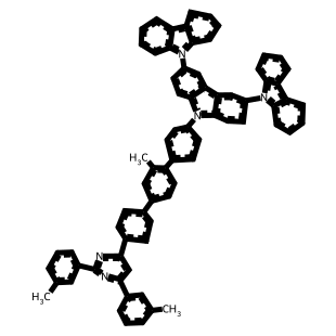 Cc1cccc(-c2cc(-c3ccc(-c4ccc(-c5ccc(-n6c7ccc(-n8c9ccccc9c9ccccc98)cc7c7cc(-n8c9ccccc9c9ccccc98)ccc76)cc5)c(C)c4)cc3)nc(-c3cccc(C)c3)n2)c1